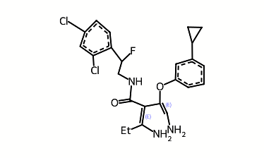 CC/C(N)=C(C(=O)NCC(F)c1ccc(Cl)cc1Cl)/C(=C\N)Oc1cccc(C2CC2)c1